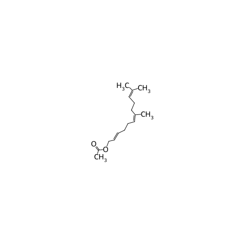 CC(=O)OCC=CCCC=C(C)CCC=C(C)C